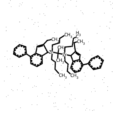 CCC[CH2][Zr]([CH2]CCC)([CH]1C(CC)=Cc2c(-c3ccccc3)cccc21)[C](C)(C)[Zr]([CH2]CCC)([CH2]CCC)[CH]1C(CC)=Cc2c(-c3ccccc3)cccc21